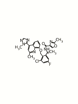 Cc1cc(-c2ncnn2C)c2cccc(OCc3c(Cl)cc(F)cc3[C@H](C)NC(=O)c3coc(C)n3)c2n1